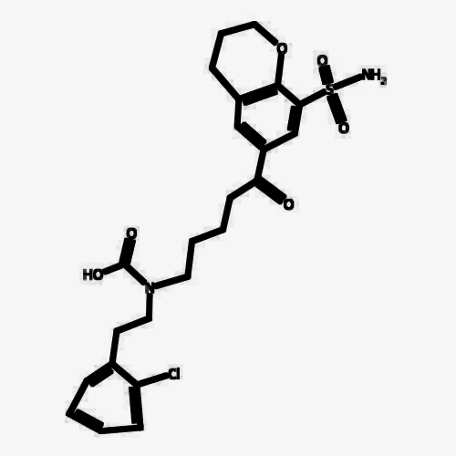 NS(=O)(=O)c1cc(C(=O)CCCCN(CCc2ccccc2Cl)C(=O)O)cc2c1OCCC2